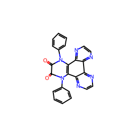 O=c1c(=O)n(-c2ccccc2)c2c3nccnc3c3nccnc3c2n1-c1ccccc1